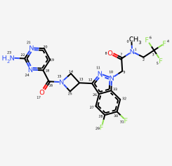 CN(CC(F)(F)F)C(=O)Cn1nc(C2CN(C(=O)c3ccnc(N)n3)C2)c2cc(F)c(F)cc21